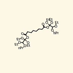 CCCOC(OCC)C(OCC)(OCC)OC(=O)CCCCCCC(=O)OC(OCC)(OCC)C(OCC)OCCC